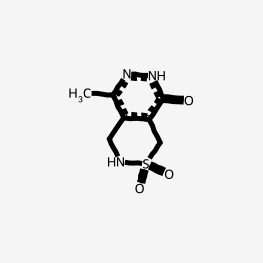 Cc1n[nH]c(=O)c2c1CNS(=O)(=O)C2